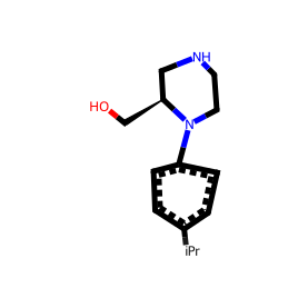 CC(C)c1ccc(N2CCNC[C@@H]2CO)cc1